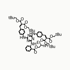 CCCC(CC)COC(=O)c1ccccc1Nc1nc(Nc2ccc(C=C(C(=O)OCC(C)(C)C)C(=O)OCC(C)(C)C)cc2)nc(Nc2ccc(C=C(C(=O)OCC(C)(C)C)C(=O)OCC(C)(C)C)cc2)n1